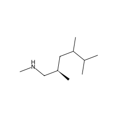 CNC[C@H](C)CC(C)C(C)C